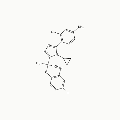 CC(C)(Oc1ccc(F)cc1Cl)c1nnc(-c2ccc(N)cc2Cl)n1C1CC1